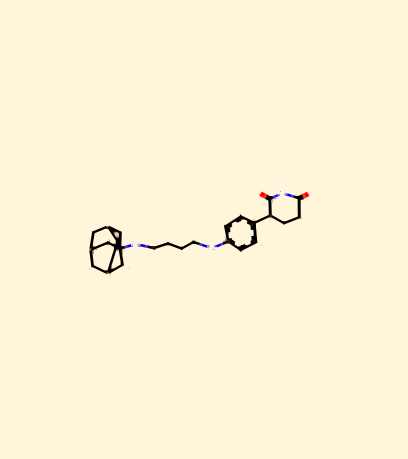 O=C1CCC(c2ccc(NCCCCNC34CC5CC(CC(C5)C3)C4)cc2)C(=O)N1